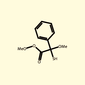 COOC(=O)C(S)(OC)c1ccccc1